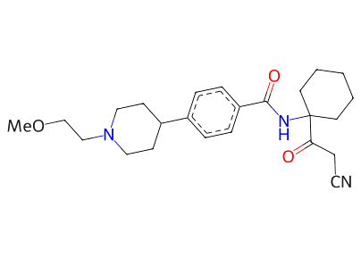 COCCN1CCC(c2ccc(C(=O)NC3(C(=O)CC#N)CCCCC3)cc2)CC1